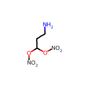 NCCC(O[N+](=O)[O-])O[N+](=O)[O-]